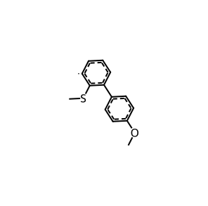 COc1ccc(-c2ccc[c]c2SC)cc1